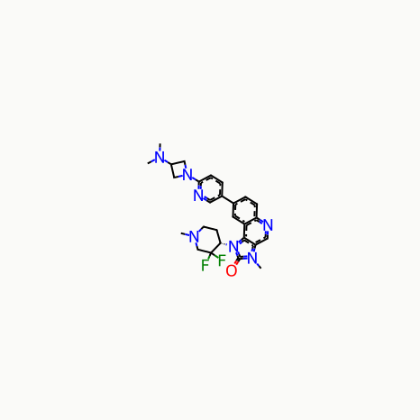 CN1CC[C@H](n2c(=O)n(C)c3cnc4ccc(-c5ccc(N6CC(N(C)C)C6)nc5)cc4c32)C(F)(F)C1